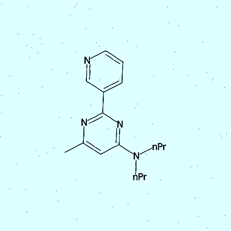 CCCN(CCC)c1cc(C)nc(-c2cccnc2)n1